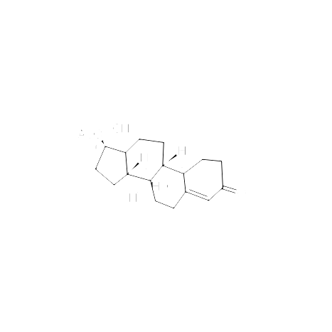 CC(=O)O[C@@H]1CC[C@H]2[C@@H]3CCC4=CC(=O)CC[C@]4(C)[C@H]3CC[C@]12C